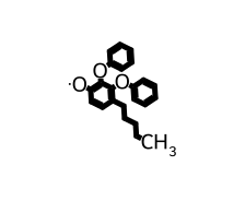 CCCCCc1ccc([O])c(Oc2ccccc2)c1Oc1ccccc1